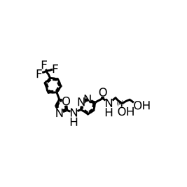 O=C(NC[C@@H](O)CO)c1ccc(Nc2ncc(-c3ccc(C(F)(F)F)cc3)o2)nn1